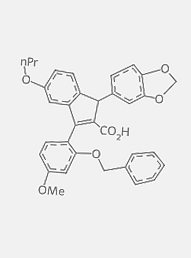 CCCOc1ccc2c(c1)C(c1ccc(OC)cc1OCc1ccccc1)=C(C(=O)O)C2c1ccc2c(c1)OCO2